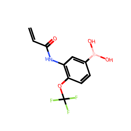 C=CC(=O)Nc1cc(B(O)O)ccc1OC(F)(F)F